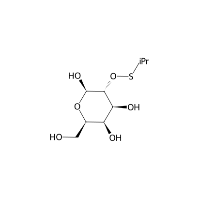 CC(C)SO[C@@H]1[C@@H](O)[C@@H](O)[C@@H](CO)O[C@H]1O